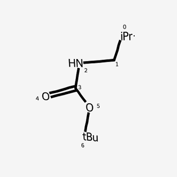 C[C](C)CNC(=O)OC(C)(C)C